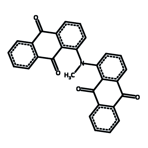 CN(c1cccc2c1C(=O)c1ccccc1C2=O)c1cccc2c1C(=O)c1ccccc1C2=O